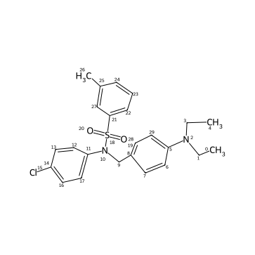 CCN(CC)c1ccc(CN(c2ccc(Cl)cc2)S(=O)(=O)c2cccc(C)c2)cc1